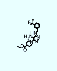 CCOC(=O)C1CCN(c2ncnc(NCc3cccc(C(F)(F)F)c3)c2N)CC1